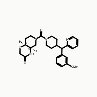 CSc1cccc(C(c2ccccn2)C2CCN(C(=O)N3CC[C@@H]4OCC(=O)N[C@@H]4C3)CC2)c1